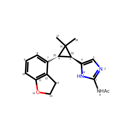 CC(=O)Nc1ncc([C@H]2[C@H](c3cccc4c3CCO4)C2(C)C)[nH]1